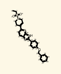 CCS(=O)(=O)N1CC=C(c2ccc3nc(-c4ccc(OCc5ccccc5)cc4)[nH]c3n2)CC1